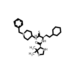 CC1(C)SCN[C@@H]1C(=O)N[C@H](CCC1CCCCC1)C(=S)NC1CCN(Cc2ccccc2)CC1